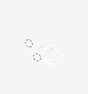 CC(C)CN(O)CCCCc1ccccc1.Cc1ccc(S(=O)(=O)O)cc1